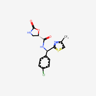 O=C1NC[C@@H](C(=O)N[C@H](c2ccc(Cl)cc2)c2nc(C(F)(F)F)cs2)O1